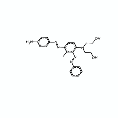 Cc1c(N=Nc2ccc(N)cc2)ccc(N(CCO)CCO)c1N=Nc1ccccc1